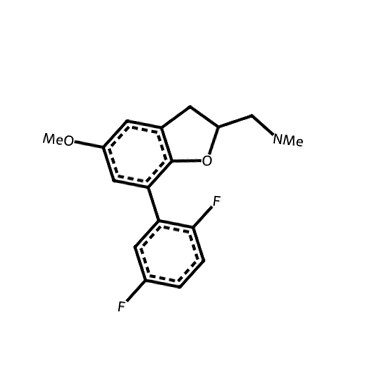 CNCC1Cc2cc(OC)cc(-c3cc(F)ccc3F)c2O1